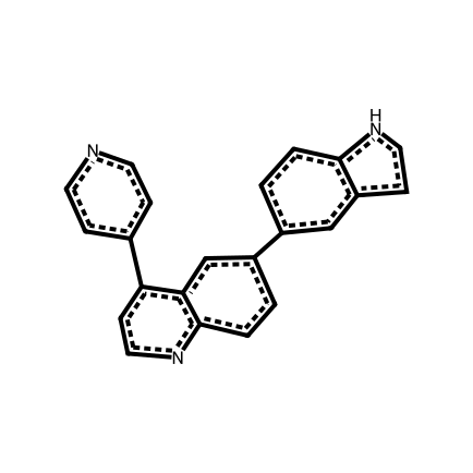 c1cc(-c2ccnc3ccc(-c4ccc5[nH]ccc5c4)cc23)ccn1